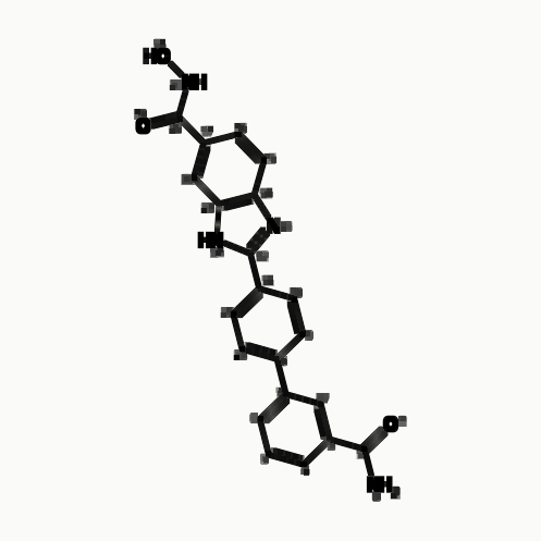 NC(=O)c1cccc(-c2ccc(-c3nc4ccc(C(=O)NO)cc4[nH]3)cc2)c1